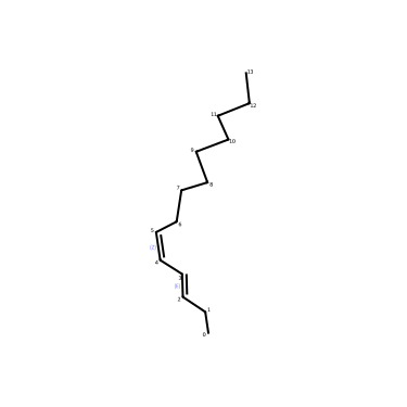 CC/C=C/C=C\CCCCCCCC